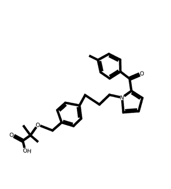 Cc1ccc(C(=O)c2cccn2CCCc2ccc(COC(C)(C)C(=O)O)cc2)cc1